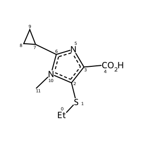 CCSc1c(C(=O)O)nc(C2CC2)n1C